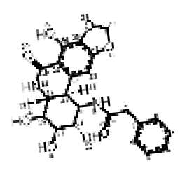 O=C(Cc1ccccc1)N[C@H]1[C@H](O)[C@@H](O)[C@@H](O)[C@@H]2NC(=O)c3c(cc4c(c3O)OCO4)[C@@H]12